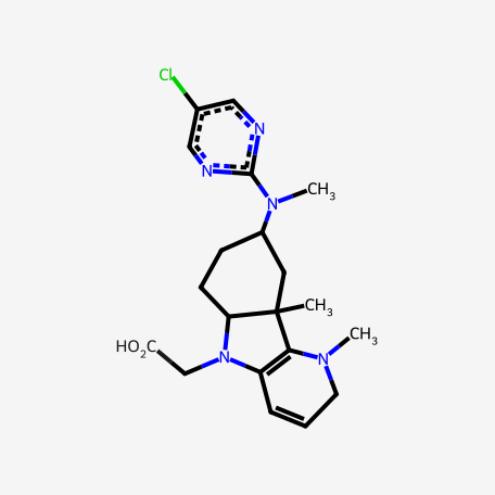 CN1CC=CC2=C1C1(C)CC(N(C)c3ncc(Cl)cn3)CCC1N2CC(=O)O